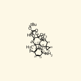 CC(C)(C)OC(=O)NC1=N[C@](C)(c2nc(N)ccc2F)[C@@H]2CC3(CC3)CN=[S@]2(=O)C1(C)C